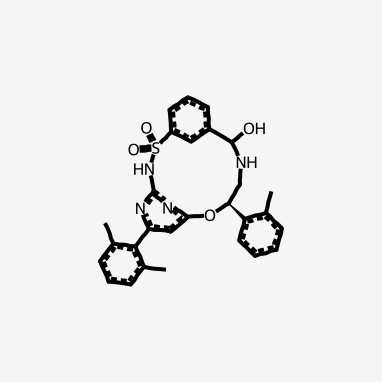 Cc1ccccc1[C@@H]1CNC(O)c2cccc(c2)S(=O)(=O)Nc2nc(cc(-c3c(C)cccc3C)n2)O1